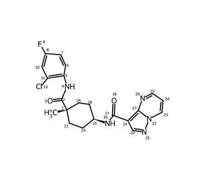 C[C@]1(C(=O)Nc2ccc(F)cc2Cl)CC[C@H](NC(=O)c2cnn3cccnc23)CC1